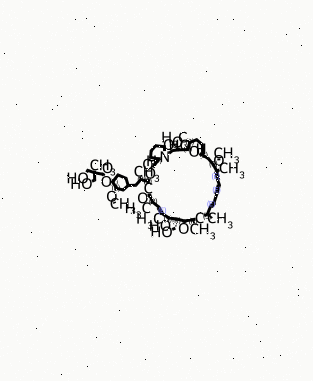 CO[C@H]1C[C@@H]2CC[C@@H](C)[C@@](O)(O2)C(=O)C(=O)N2CCCC[C@H]2C(=O)O[C@H]([C@H](C)CC2CC[C@@H](OC(=O)C(C)(CO)CO)[C@H](OC)C2)CC(=O)[C@H](C)/C=C(\C)[C@@H](O)[C@@H](CO)C(=O)[C@H](C)C[C@H](C)/C=C/C=C/C=C/1C